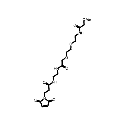 COCC(=O)NCCOCCOCC(=O)NCCNC(=O)CCN1C(=O)C=CC1=O